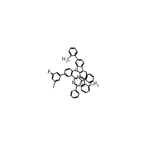 Cc1ccccc1-c1ccc2c3ccc(-c4ccccc4C)cc3n(-c3ccc(-c4cc(F)cc(F)c4)cc3-c3nc(-c4ccccc4)nc(-c4ccccc4)n3)c2c1